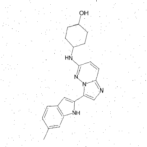 Cc1ccc2cc(-c3cnc4ccc(NC5CCC(O)CC5)nn34)[nH]c2c1